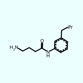 CC(C)Cc1cccc(NC(=O)CCCN)c1